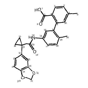 Cc1ccc(C(=O)O)c(-c2cc(NC(=O)C3(c4ccc5c(c4)OCO5)CC3)ccc2C)c1